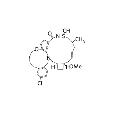 C#S1=N\C(=O)c2ccc3c(c2)N(Cc2ccc(Cl)cc2CCCCO3)C[C@@H]2CC[C@H]2[C@@H](OC)/C=C/C[C@H](C)C/1